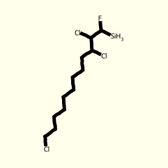 FC([SiH3])C(Cl)C(Cl)CCCCCCCCCCl